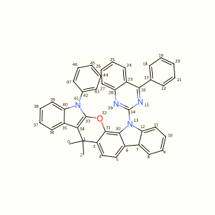 CC1(C)c2ccc3c4ccccc4n(-c4nc(-c5ccccc5)c5ccccc5n4)c3c2Oc2c1c1ccccc1n2-c1ccccc1